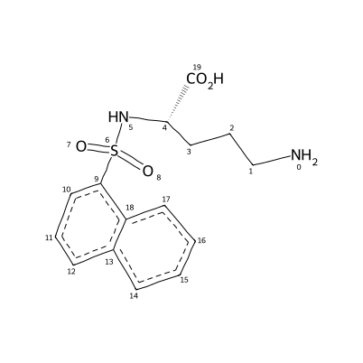 NCCC[C@H](NS(=O)(=O)c1cccc2ccccc12)C(=O)O